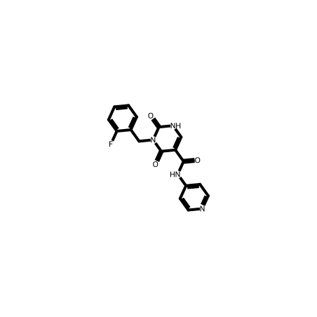 O=C(Nc1ccncc1)c1c[nH]c(=O)n(Cc2ccccc2F)c1=O